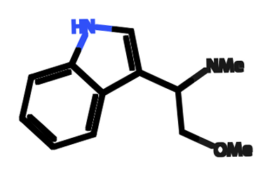 CNC(COC)c1c[nH]c2ccccc12